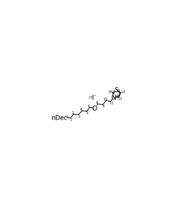 CCCCCCCCCCCCCCCCOCCCC[n+]1ccsc1.[I-]